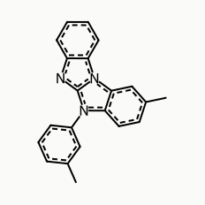 Cc1cccc(-n2c3ccc(C)cc3n3c4ccccc4nc23)c1